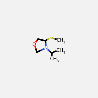 CSC1COCN1C(C)C